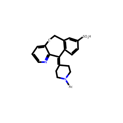 CC(=O)N1CCC(=C2c3ccc(S(=O)(=O)O)cc3CCc3cccnc32)CC1